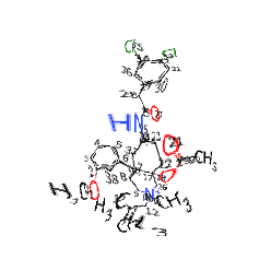 COc1cccc([C@]23CC[N@@+](C)(CC(C)C)CC2(OC(C)=O)CC[C@H](NC(=O)Cc2ccc(Cl)c(Cl)c2)C3)c1